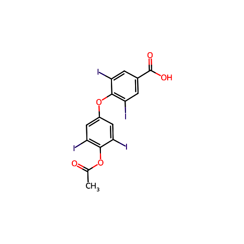 CC(=O)Oc1c(I)cc(Oc2c(I)cc(C(=O)O)cc2I)cc1I